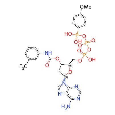 COc1ccc(P(=O)(O)OP(=O)(O)OP(=O)(O)OC[C@H]2O[C@@H](n3cnc4c(N)ncnc43)CC2OC(=O)Nc2cccc(C(F)(F)F)c2)cc1